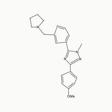 COc1ccc(-c2nc(-c3cccc(CN4CCCC4)c3)n(C)n2)cc1